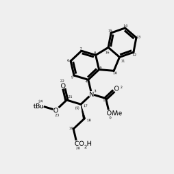 COC(=O)N(c1cccc2c1Cc1ccccc1-2)[C@@H](CCC(=O)O)C(=O)OC(C)(C)C